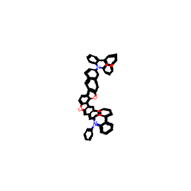 c1ccc(-c2ccccc2N(c2ccccc2)c2ccc3cc4c(cc3c2)oc2c4ccc3oc4cc5cc(N(c6ccccc6)c6ccccc6-c6ccccc6)ccc5cc4c32)cc1